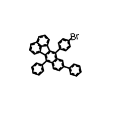 Brc1ccc(-c2c3c(c(-c4ccccc4)c4ccc(-c5ccccc5)cc24)-c2cccc4cccc-3c24)cc1